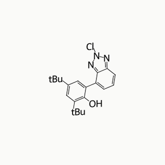 CC(C)(C)c1cc(-c2cccc3nn(Cl)nc23)c(O)c(C(C)(C)C)c1